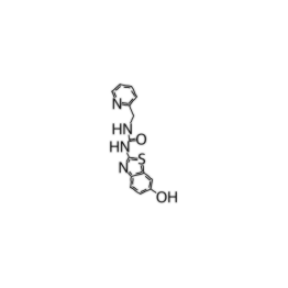 O=C(NCc1ccccn1)Nc1nc2ccc(O)cc2s1